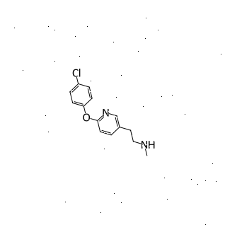 CNCCc1ccc(Oc2ccc(Cl)cc2)nc1